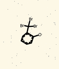 [O]c1ccccc1C(Br)(Br)Br